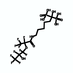 O=C(NCCCCCC(O)(P(=O)(O)O)P(=O)(O)O)C(F)(OC(F)(F)C(O)(F)C(F)(F)F)C(F)(F)F